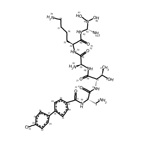 C[C@@H](O)[C@H](NC(=O)[C@H](CN)NC(=O)c1ccc(-c2ccc(Cl)cc2)cc1)C(=O)N[C@@H](N)C(=O)N[C@@H](CCCCN)C(=O)N[C@@H](N)B(O)O